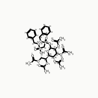 CC(=O)OCC(OC(C)=O)[C@H]1OC(OP(=O)(CP(=O)(O)OCc2ccccc2)OCc2ccccc2)[C@@H](OC(C)=O)[C@@H](OC(C)=O)[C@@H]1OC(C)=O